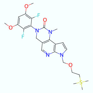 COc1cc(OC)c(F)c(N2Cc3cnc4c(ccn4COCCS(C)(C)C)c3N(C)C2=O)c1F